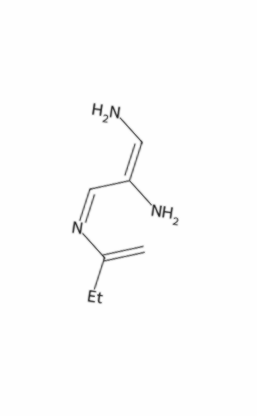 C=C(CC)/N=C\C(N)=C/N